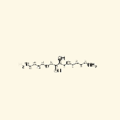 NCCCCOCC(O)C(O)COCCCCN